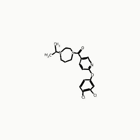 CC(C)N1CCCN(C(=O)c2ccc(Oc3ccc(Cl)c(Cl)c3)nc2)CC1